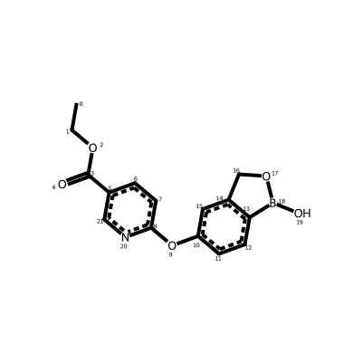 CCOC(=O)c1ccc(Oc2ccc3c(c2)COB3O)nc1